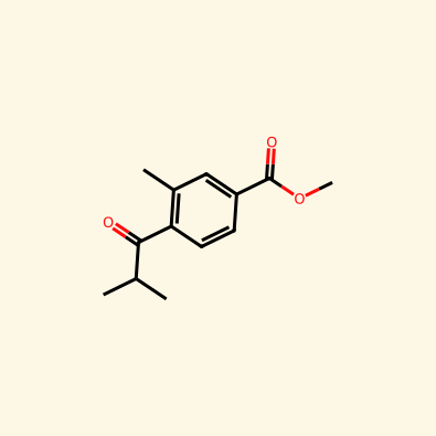 COC(=O)c1ccc(C(=O)C(C)C)c(C)c1